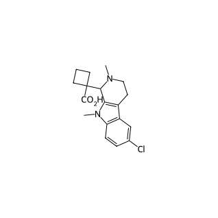 CN1CCc2c(n(C)c3ccc(Cl)cc23)C1C1(C(=O)O)CCC1